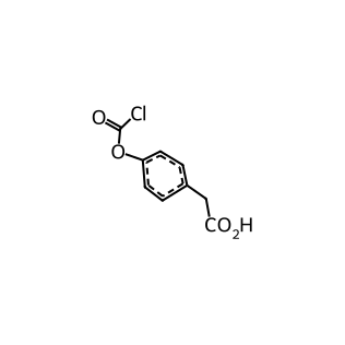 O=C(O)Cc1ccc(OC(=O)Cl)cc1